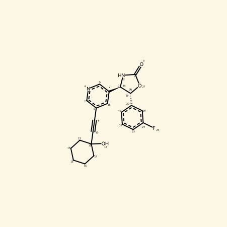 O=C1N[C@H](c2cncc(C#CC3(O)CCCCC3)c2)[C@@H](c2cccc(F)c2)O1